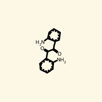 Nc1ccccc1C(=O)C(=O)c1ccccc1N